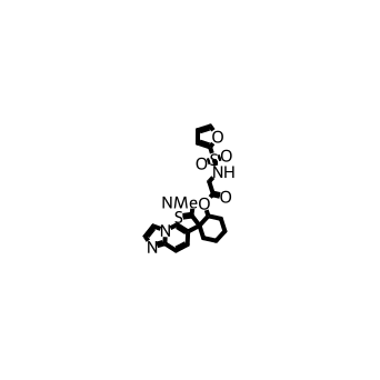 CNC(=S)C1(c2ccc3nccn3c2)CCCCC1OC(=O)CNS(=O)(=O)c1ccco1